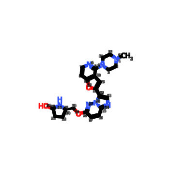 CN1CCN(c2nccc3oc(-c4cnc5ccc(OC[C@H]6CCC(O)N6)nn45)cc23)CC1